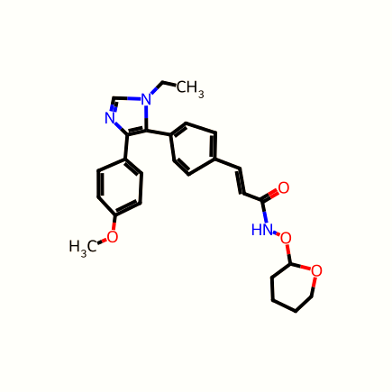 CCn1cnc(-c2ccc(OC)cc2)c1-c1ccc(C=CC(=O)NOC2CCCCO2)cc1